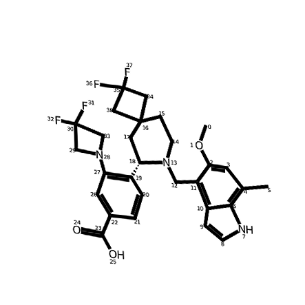 COc1cc(C)c2[nH]ccc2c1CN1CCC2(C[C@H]1c1ccc(C(=O)O)cc1N1CC(F)(F)C1)CC(F)(F)C2